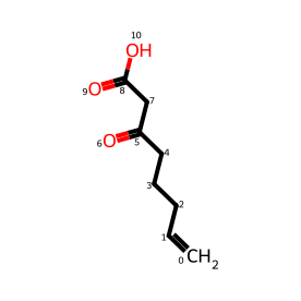 C=CCCCC(=O)CC(=O)O